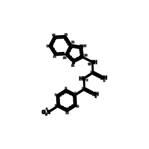 N=C(NC(=N)c1ccc([N+](=O)[O-])cc1)Nc1nc2ccccc2s1